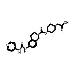 O=C(O)C[C@H]1CC[C@H](OC(=O)N2CCc3cc(NC(=O)Nc4ccncc4)ccc3C2)CC1